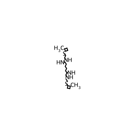 CC1CCC1SCCNCC(=N)CCCCC(=N)NCCSC1CCC1C